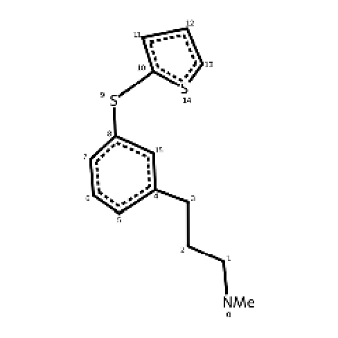 CNCCCc1cccc(Sc2cccs2)c1